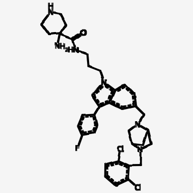 NC1(C(=O)NCCCn2cc(-c3ccc(F)cc3)c3cc(CN4CC5CC4CN5Cc4c(Cl)cccc4Cl)ccc32)CCNCC1